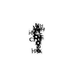 Nc1nc(Nc2cc(Cl)c(-c3ccc(OC[C@@H]4CCCN4)cc3)c(C(F)(F)F)c2)n[nH]1